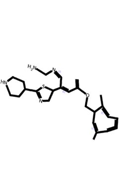 C=C(/C=C(\C=N/CN)C1CN=C(C2CCNCC2)S1)OCC1/C=C(/C)C=C=C/C=C/1C